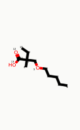 CCCCCOCC(C)(CC)C(=O)O